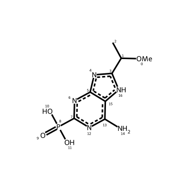 COC(C)c1nc2nc(P(=O)(O)O)nc(N)c2[nH]1